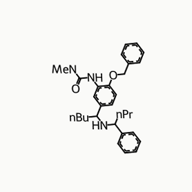 CCCCC(NC(CCC)c1ccccc1)c1ccc(OCc2ccccc2)c(NC(=O)NC)c1